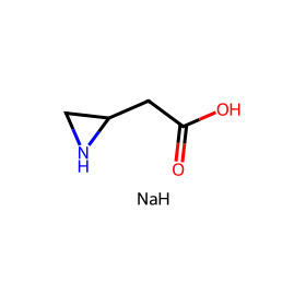 O=C(O)CC1CN1.[NaH]